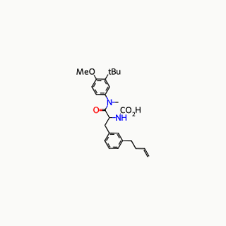 C=CCCc1cccc(CC(NC(=O)O)C(=O)N(C)c2ccc(OC)c(C(C)(C)C)c2)c1